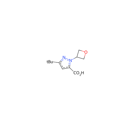 CC(C)(C)c1cc(C(=O)O)n(C2COC2)n1